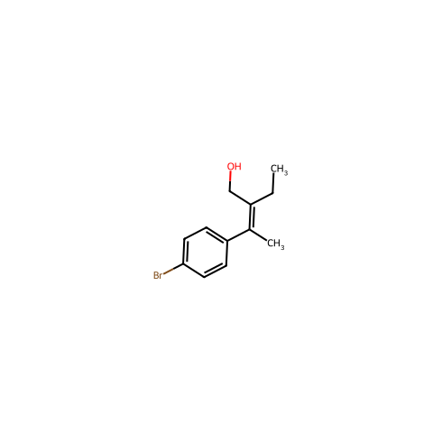 CC/C(CO)=C(\C)c1ccc(Br)cc1